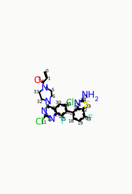 C=CC(=O)N1CCN(c2nc(Cl)nc3c(F)c(-c4ccc(F)c5sc(N)nc45)c(Cl)cc23)CC1